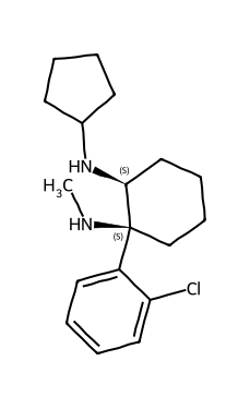 CN[C@]1(c2ccccc2Cl)CCCC[C@@H]1NC1CCCC1